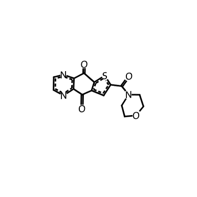 O=C1c2cc(C(=O)N3CCOCC3)sc2C(=O)c2nccnc21